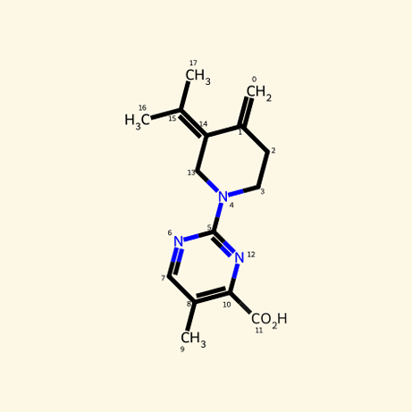 C=C1CCN(c2ncc(C)c(C(=O)O)n2)CC1=C(C)C